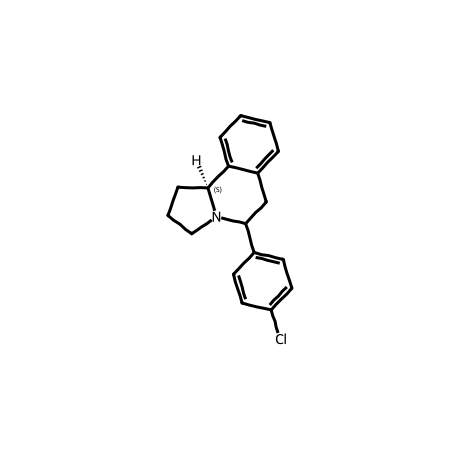 Clc1ccc(C2Cc3ccccc3[C@@H]3CCCN23)cc1